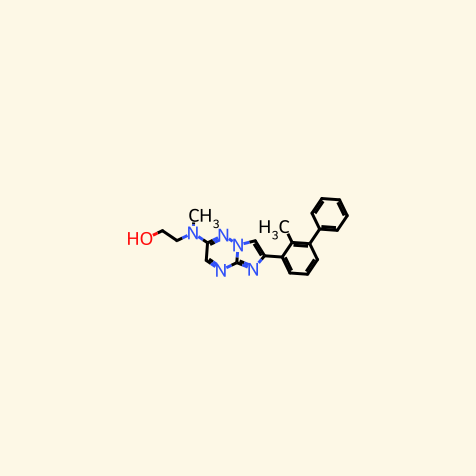 Cc1c(-c2ccccc2)cccc1-c1cn2nc(N(C)CCO)cnc2n1